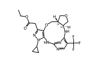 CCOC(=O)Cc1nn(C2CC2)c2c1OC[C@@H]1COC[C@H]1Nc1nc(ncc1C(F)(F)F)N2